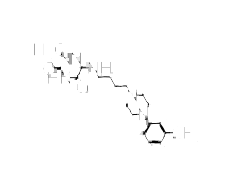 Cn1nc(NCCCCN2CCN(c3cccc(C(F)(F)F)c3)CC2)c(=O)[nH]c1=O